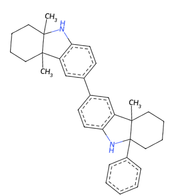 CC12CCCCC1(C)c1cc(-c3ccc4c(c3)C3(C)CCCCC3(c3ccccc3)N4)ccc1N2